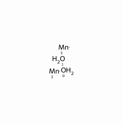 O.O.[Mn].[Mn]